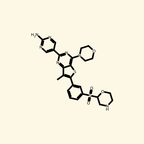 Cc1c(-c2cccc(S(=O)(=O)C3CNCCO3)c2)sc2c(N3CCOCC3)nc(-c3cnc(N)nc3)nc12